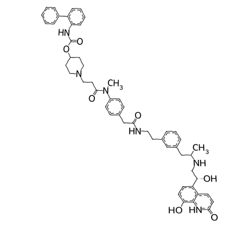 CC(Cc1cccc(CCNC(=O)Cc2ccc(N(C)C(=O)CCN3CCC(OC(=O)Nc4ccccc4-c4ccccc4)CC3)cc2)c1)NC[C@H](O)c1ccc(O)c2[nH]c(=O)ccc12